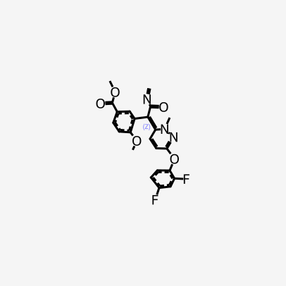 C=NC(=O)/C(=C1/C=CC(Oc2ccc(F)cc2F)=NN1C)c1cc(C(=O)OC)ccc1OC